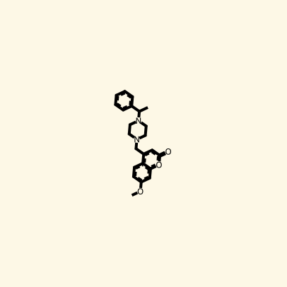 COc1ccc2c(CN3CCN(C(C)c4ccccc4)CC3)cc(=O)oc2c1